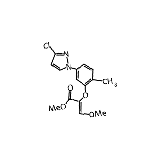 CO/C=C(\Oc1cc(-n2ccc(Cl)n2)ccc1C)C(=O)OC